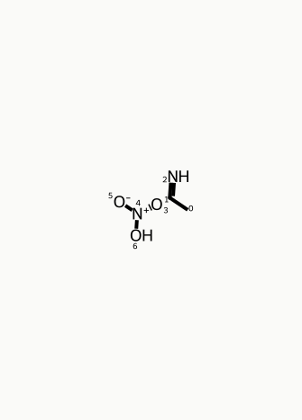 CC=N.O=[N+]([O-])O